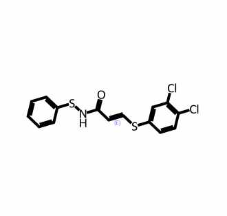 O=C(/C=C/Sc1ccc(Cl)c(Cl)c1)NSc1ccccc1